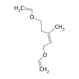 C=COCC=C(C)CCOC=C